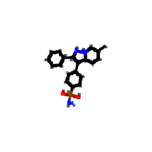 Cc1ccc2c(-c3ccc(S(N)(=O)=O)cc3)c(-c3ccccc3)nn2c1